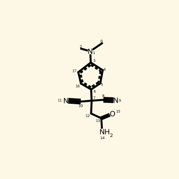 CN(C)c1ccc(C(C#N)(C#N)CC(N)=O)cc1